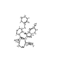 NC(=O)c1cccc(Cc2ccccc2)c1-n1c(-c2cccnc2N)nc2ccc(Cl)nc21